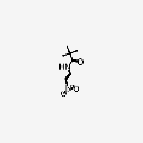 CC(C)(C)C(=O)NC=C[N+](=O)[O-]